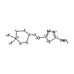 Nc1nnc(OCC2CCC(F)(F)CC2)s1